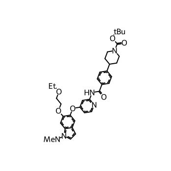 CCOCCOc1cc2c(ccn2NC)cc1Oc1ccnc(NC(=O)c2ccc(C3CCN(C(=O)OC(C)(C)C)CC3)cc2)c1